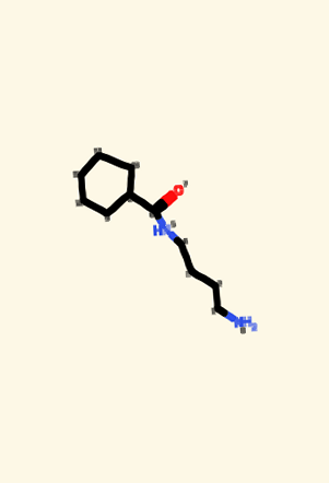 NCCCCNC(=O)C1CCCCC1